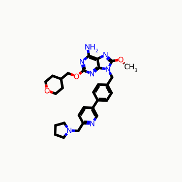 COc1nc2c(N)nc(OCC3CCOCC3)nc2n1Cc1ccc(-c2ccc(CN3CCCC3)nc2)cc1